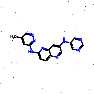 Cc1cnnc(Nc2ccc3ncc(Nc4cncnc4)cc3n2)c1